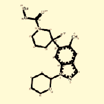 Cc1cc2cnn(C3CCCCO3)c2cc1C1(F)CCCN(C(=O)OC(C)(C)C)C1